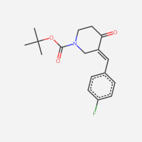 CC(C)(C)OC(=O)N1CCC(=O)/C(=C/c2ccc(F)cc2)C1